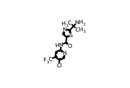 CC(C)(N)c1ncc(C(=O)Nc2cc(C(F)(F)F)c(Cl)cn2)s1